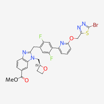 COC(=O)c1ccc2nc(Cc3cc(F)c(-c4cccc(OCc5nnc(Br)s5)n4)cc3F)n(C[C@@H]3CCO3)c2c1